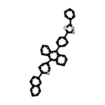 c1ccc(-c2nnc(-c3ccc(-c4c5ccccc5c(-c5ccc(-c6ccc7ccccc7c6)nc5)c5ccccc45)cc3)o2)cc1